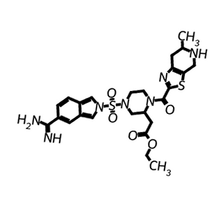 CCOC(=O)CC1CN(S(=O)(=O)n2cc3ccc(C(=N)N)cc3c2)CCN1C(=O)c1nc2c(s1)CNC(C)C2